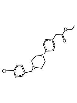 CCOC(=O)Cc1ccc(N2CCN(Cc3ccc(Cl)cc3)CC2)cc1